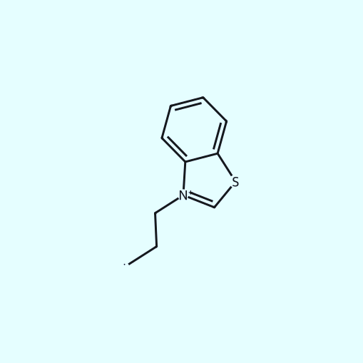 [CH2]CC[n+]1csc2ccccc21